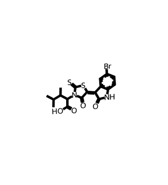 CC(C)C(C)C(C(=O)O)N1C(=O)C(=C2C(=O)Nc3ccc(Br)cc32)SC1=S